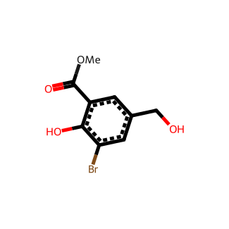 COC(=O)c1cc(CO)cc(Br)c1O